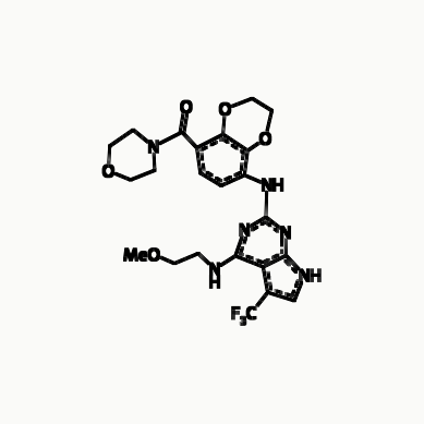 COCCNc1nc(Nc2ccc(C(=O)N3CCOCC3)c3c2OCCO3)nc2[nH]cc(C(F)(F)F)c12